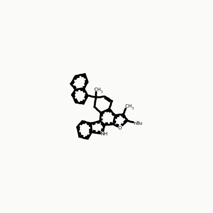 CCCCc1oc2c(c1C)c1c(c3c4ccccc4[nH]c23)CC(C)(c2cccc3ccccc23)C=C1